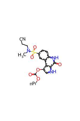 CCCOC(=O)Oc1c[nH]c2c(=O)[nH]c3ccc(S(=O)(=O)N(C)CCC#N)cc3c12